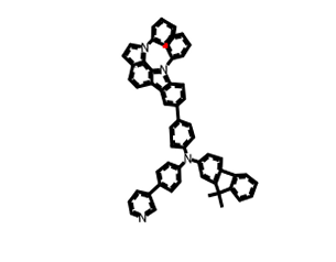 CC1(C)c2ccccc2-c2ccc(N(c3ccc(-c4cccnc4)cc3)c3ccc(-c4ccc5c(c4)c4ccc6ccn(-c7ccccc7)c6c4n5-c4ccccc4)cc3)cc21